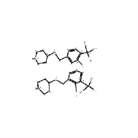 Fc1c(COC2CCNCC2)cccc1C(F)(F)F.Fc1cc(COC2CCNCC2)ccc1C(F)(F)F